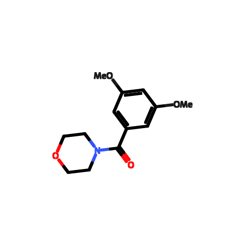 COc1cc(OC)cc(C(=O)N2CCOCC2)c1